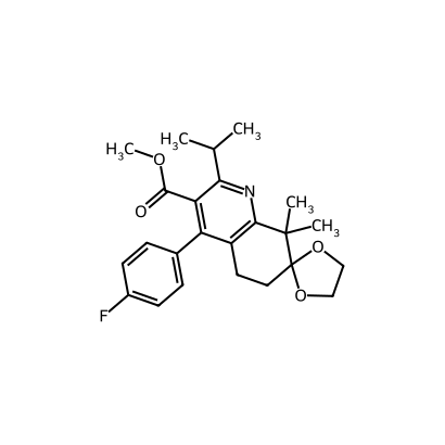 COC(=O)c1c(C(C)C)nc2c(c1-c1ccc(F)cc1)CCC1(OCCO1)C2(C)C